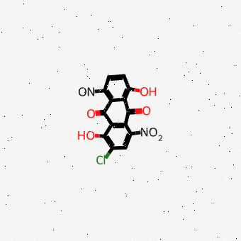 O=Nc1ccc(O)c2c1C(=O)c1c(O)c(Cl)cc([N+](=O)[O-])c1C2=O